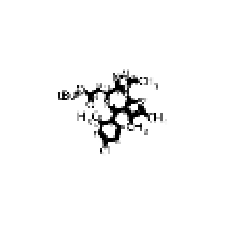 Cc1sc2c(c1C)C(C1C=CC(Cl)=CC1C)=N[C@@H](CC(=O)OC(C)(C)C)c1nnc(C)n1-2